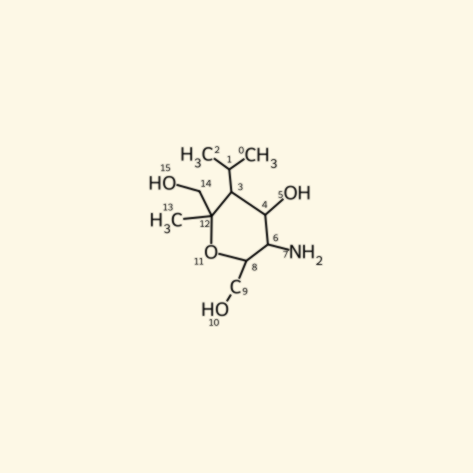 CC(C)C1C(O)C(N)C(CO)OC1(C)CO